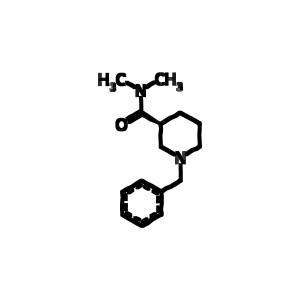 CN(C)C(=O)[C@H]1CCCN(Cc2ccccc2)C1